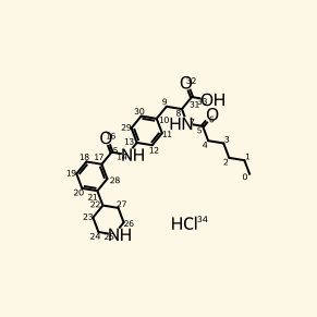 CCCCCC(=O)NC(Cc1ccc(NC(=O)c2cccc(C3CCNCC3)c2)cc1)C(=O)O.Cl